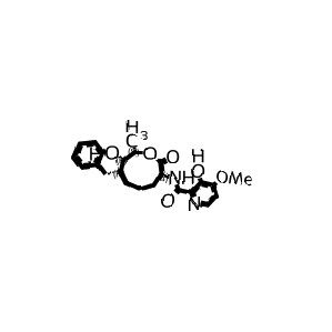 COc1ccnc(C(=O)N[C@H]2CCC[C@H](Cc3ccccc3)[C@@H](O)[C@H](C)OC2=O)c1O